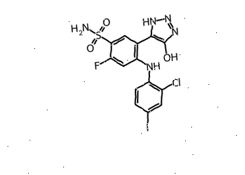 NS(=O)(=O)c1cc(-c2[nH]nnc2O)c(Nc2ccc(I)cc2Cl)cc1F